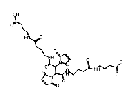 O=C(O)CCCNC(=O)CCCNC(=O)C(C(C(=O)NCCCC(=O)NCCCC(=O)O)N1C(=O)C=CC1=O)N1C(=O)C=CC1=O